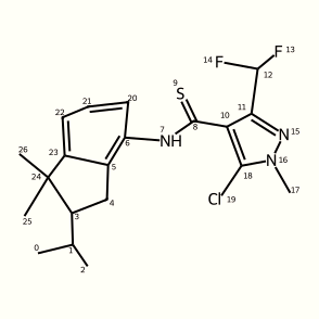 CC(C)C1Cc2c(NC(=S)c3c(C(F)F)nn(C)c3Cl)cccc2C1(C)C